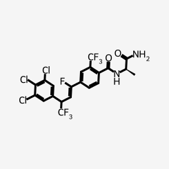 C[C@@H](NC(=O)c1ccc(/C(F)=C/C(c2cc(Cl)c(Cl)c(Cl)c2)C(F)(F)F)cc1C(F)(F)F)C(N)=O